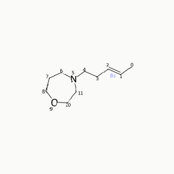 C/C=C/CCN1CCCOCC1